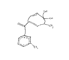 Cc1cccc(C(=O)C2=CC(C)C(O)(O)C=C2)c1